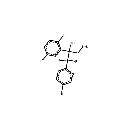 NCC(O)(c1cc(F)ccc1F)C(F)(F)c1ccc(Br)cn1